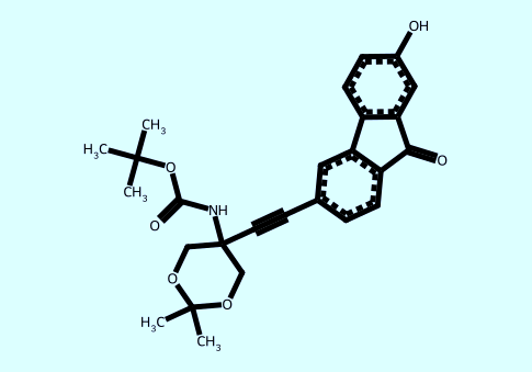 CC(C)(C)OC(=O)NC1(C#Cc2ccc3c(c2)-c2ccc(O)cc2C3=O)COC(C)(C)OC1